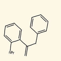 C=C(Cc1ccccc1)c1ccccc1CCC